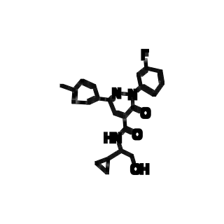 Cc1ccc(-c2cc(C(=O)NC(CO)C3CC3)c(=O)n(-c3cccc(F)c3)n2)cc1